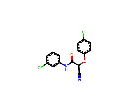 N#CC(Oc1ccc(Cl)cc1)C(=O)Nc1cccc(Cl)c1